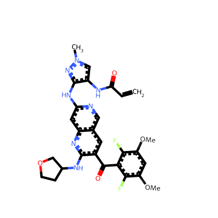 C=CC(=O)Nc1cn(C)nc1Nc1cc2nc(NC3CCOC3)c(C(=O)c3c(F)c(OC)cc(OC)c3F)cc2cn1